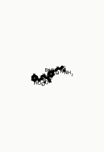 CC1(C)OC(=O)N2[C@@H]([C@H](O)c3ccccc3)CC[C@H]2C1c1ccc(NC(=O)Cc2csc(N)n2)c(Br)c1